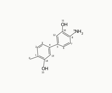 Cc1ccc(-c2ccc(N)c(O)c2)cc1O